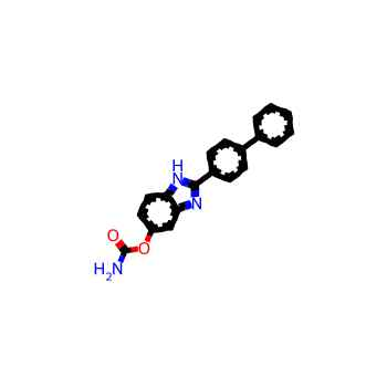 NC(=O)Oc1ccc2[nH]c(-c3ccc(-c4ccccc4)cc3)nc2c1